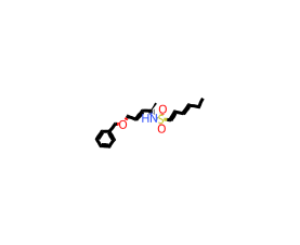 CCC=CC=CS(=O)(=O)N[C@H](C)C=CCOCc1ccccc1